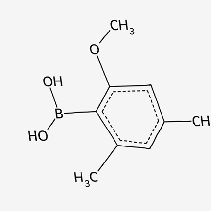 COc1cc(C)cc(C)c1B(O)O